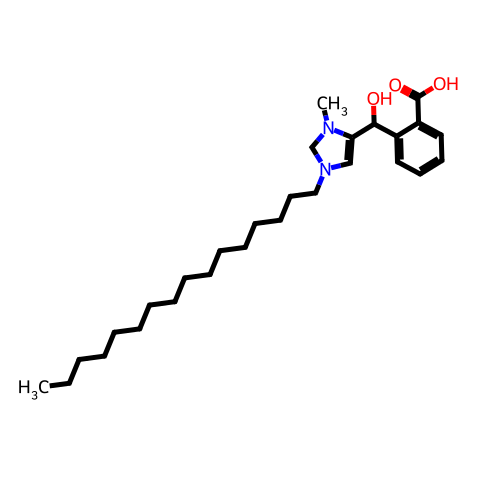 CCCCCCCCCCCCCCCCN1C=C(C(O)c2ccccc2C(=O)O)N(C)C1